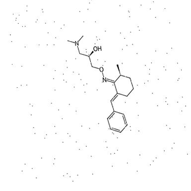 C[C@H]1CCCC(=C\c2ccccc2)/C1=N/OC[C@H](O)CN(C)C